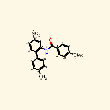 COc1ccc(C(=O)Nc2cc([N+](=O)[O-])ccc2-c2ccc(C)cc2)cc1